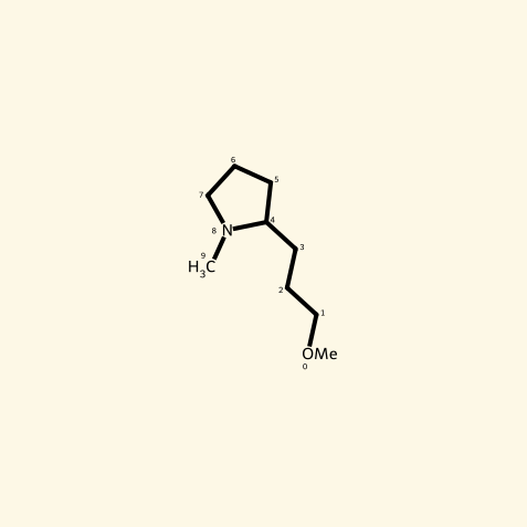 COCCCC1CCCN1C